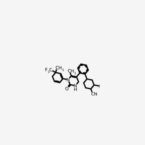 CC1=C(c2ccccc2C2CCC(C#N)C(I)C2)CNC(=O)N1C1=CC(C)(C(F)(F)F)CC=C1